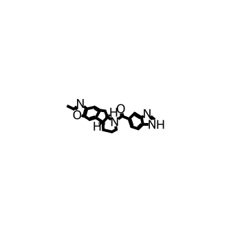 Cc1nc2cc3c(cc2o1)[C@H]1CCCN(C(=O)c2ccc4[nH]cnc4c2)[C@H]1C3